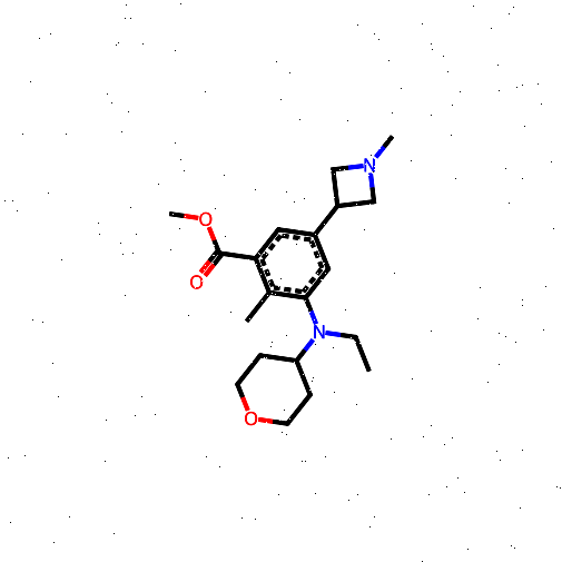 CCN(c1cc(C2CN(C)C2)cc(C(=O)OC)c1C)C1CCOCC1